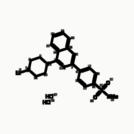 CCN1CCN(c2nc(-c3ccc(S(=O)(=O)NC)cc3)cc3ccccc23)CC1.Cl.Cl